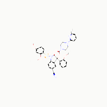 CCOc1ccccc1C1(OC(=O)N2CCN(c3cccc(C)n3)CC2)C(=O)N(S(=O)(=O)c2ccc(OC)cc2OC)c2ccc(C#N)cc21